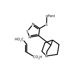 CCCCCSc1nsnc1C1CN2CCC1CC2.O=C(O)C=CC(=O)O